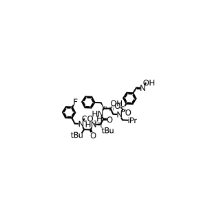 CC(C)CN(C[C@@H](O)[C@H](Cc1ccccc1)NC(=O)[C@@H](NC(=O)C(N(Cc1cccc(F)c1)C(=O)O)C(C)(C)C)C(C)(C)C)S(=O)(=O)c1ccc(C=NO)cc1